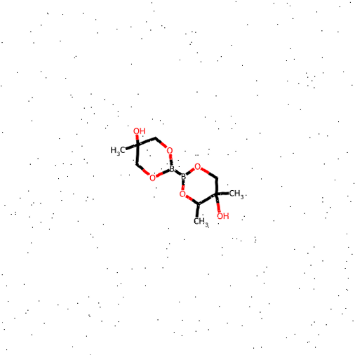 CC1OB(B2OCC(C)(O)CO2)OCC1(C)O